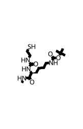 CNC(=O)[C@H](CCCCNC(=O)OC(C)(C)C)NC(=O)NCCS